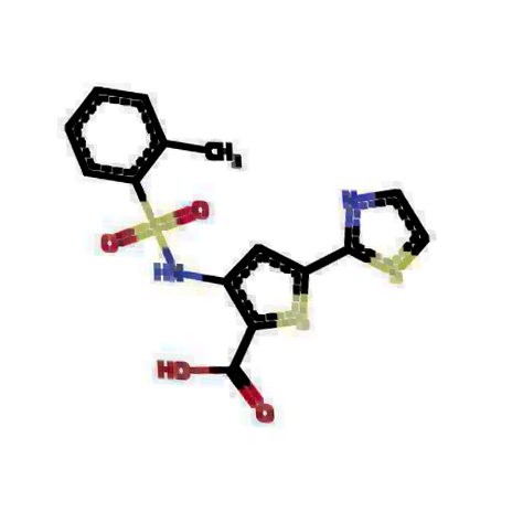 Cc1ccccc1S(=O)(=O)Nc1cc(-c2nccs2)sc1C(=O)O